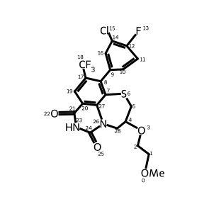 COCCOC1CSc2c(-c3ccc(F)c(Cl)c3)c(C(F)(F)F)cc3c(=O)[nH]c(=O)n(c23)C1